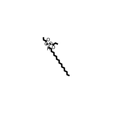 CCCCCCCCCCCCCCCC[SH](OC(=O)CC)OC(=O)CC